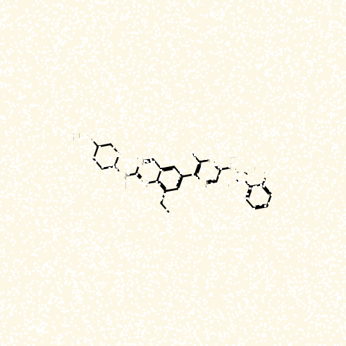 CCc1cc(-c2ncc(NS(=O)(=O)c3ccccc3Cl)nc2C)cc2cnc(NC3CCC(N)CC3)nc12